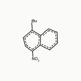 CC[C](C)c1ccc([N+](=O)[O-])c2ccccc12